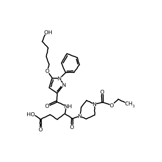 CCOC(=O)N1CCN(C(=O)C(CCC(=O)O)NC(=O)c2cc(OCCCCO)n(-c3ccccc3)n2)CC1